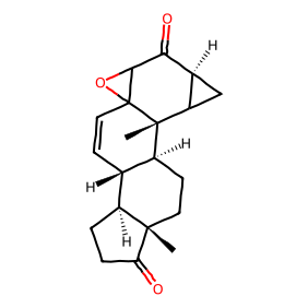 C[C@]12CC[C@H]3[C@@H](C=CC45OC4C(=O)[C@H]4CC4[C@]35C)[C@@H]1CCC2=O